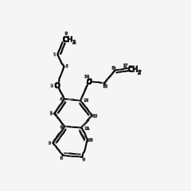 C=CCOc1cc2ccccc2cc1OCC=C